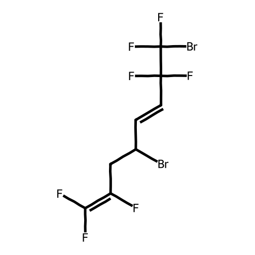 FC(F)=C(F)CC(Br)C=CC(F)(F)C(F)(F)Br